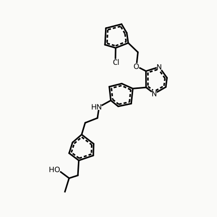 CC(O)Cc1ccc(CCNc2ccc(-c3nccnc3OCc3ccccc3Cl)cc2)cc1